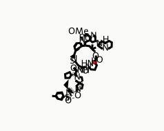 CCn1c(C2=C([C@H](C)OC)N=CC(N3CCN4CCCC[C@@H]4C3)C2)c2c3cc(ccc31)-c1csc(n1)C[C@H](NC(=O)[C@H](C1CCCC1)N1CC[C@]3(CCN(C(=O)[C@H]4[C@@H](C5CC5)N4[S@+]([O-])c4ccc(C)cc4)C3)C1)C(=O)N1CCC[C@H](N1)C(=O)OCC(C)(C)C2